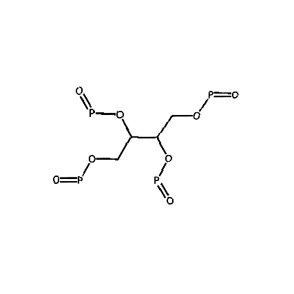 O=POCC(OP=O)C(COP=O)OP=O